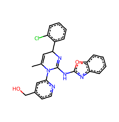 CC1=CC(c2ccccc2Cl)N=C(Nc2nc3ccccc3o2)N1c1cc(CO)ccn1